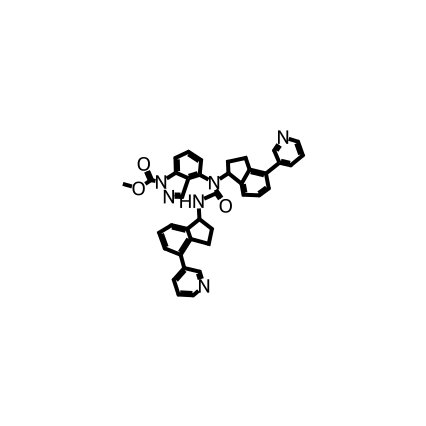 COC(=O)n1ncc2c(N(C(=O)NC3CCc4c(-c5cccnc5)cccc43)C3CCc4c(-c5cccnc5)cccc43)cccc21